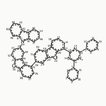 c1ccc(-c2nc(-c3ccccc3)nc(-c3cccc4c3oc3cc(-c5cccc6oc7ccc(-n8c9ccccc9c9ccccc98)cc7c56)ccc34)n2)cc1